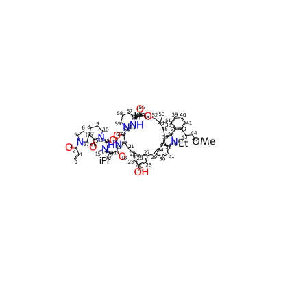 C=CC(=O)N1CC[C@@]2(CCCN(C(=O)N(C)[C@H](C(=O)N[C@H]3Cc4cc(O)cc(c4)-c4ccc5c(c4)c(c(-c4ccccc4CCOC)n5CC)CC(C)(C)COC(=O)[C@@H]4CCCN(N4)C3=O)C(C)C)C2=O)C1